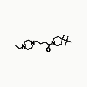 CCN1CCN(CCCC(=O)N2CCC(C)(C(C)(C)C)CC2)CC1